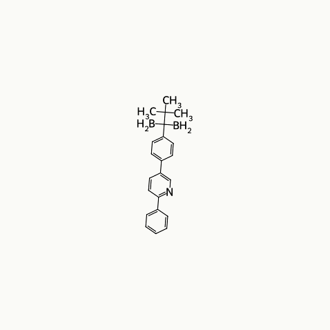 BC(B)(c1ccc(-c2ccc(-c3ccccc3)nc2)cc1)C(C)(C)C